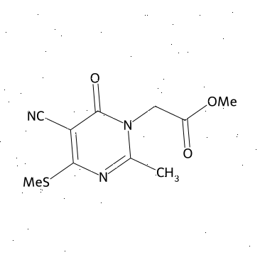 COC(=O)Cn1c(C)nc(SC)c(C#N)c1=O